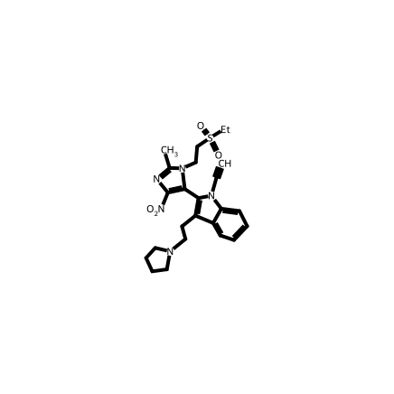 C#Cn1c(-c2c([N+](=O)[O-])nc(C)n2CCS(=O)(=O)CC)c(CCN2CCCC2)c2ccccc21